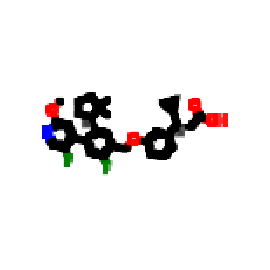 COc1cc(-c2cc(F)c(COc3cccc([C@@H](CC(=O)O)C4CC4)c3)cc2[C@H]2CCCC2(C)C)c(F)cn1